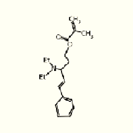 C=C(C)C(=O)OCCC(C=Cc1ccccc1)N(CC)CC